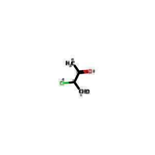 CC(=O)C(Cl)C=O